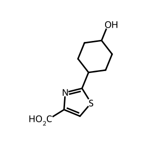 O=C(O)c1csc(C2CCC(O)CC2)n1